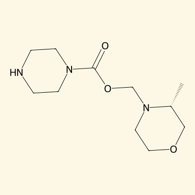 C[C@@H]1COCCN1COC(=O)N1CCNCC1